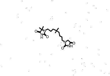 CC(C)(CCCCN1CC(=O)NC1=O)CCCN1C(=O)NC(=O)C1(C)C